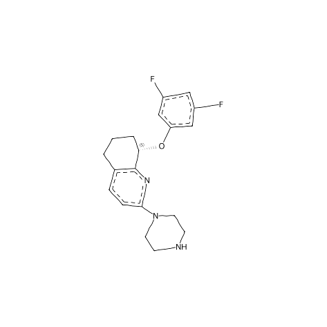 Fc1cc(F)cc(O[C@H]2CCCc3ccc(N4CCNCC4)nc32)c1